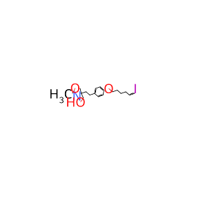 CC1=NC(CO)(CCc2ccc(OCCCC/C=C\I)cc2)CO1